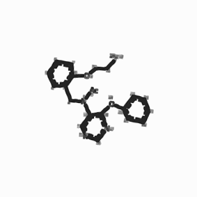 CC(=O)N(Cc1ccccc1OCC[18F])c1cncnc1Oc1ccccc1